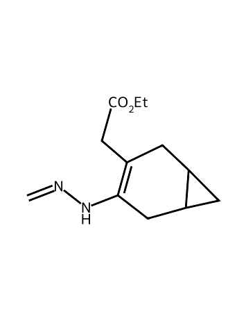 C=NNC1=C(CC(=O)OCC)CC2CC2C1